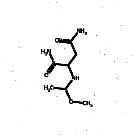 COC(C)NC(CC(N)=O)C(N)=O